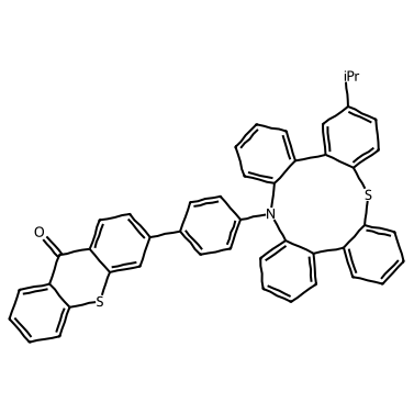 CC(C)c1ccc2c(c1)-c1ccccc1N(c1ccc(-c3ccc4c(=O)c5ccccc5sc4c3)cc1)c1ccccc1-c1ccccc1S2